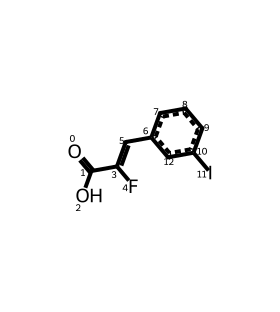 O=C(O)/C(F)=C/c1cccc(I)c1